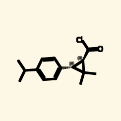 CC(C)c1ccc([C@@H]2[C@@H](C(=O)Cl)C2(C)C)cc1